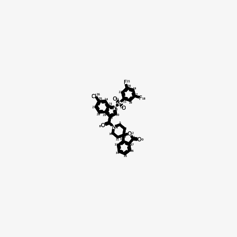 O=C1OC2(CCN(C(=O)c3cn(S(=O)(=O)c4cc(F)cc(F)c4)c4cc(Cl)ccc34)CC2)c2ccccc21